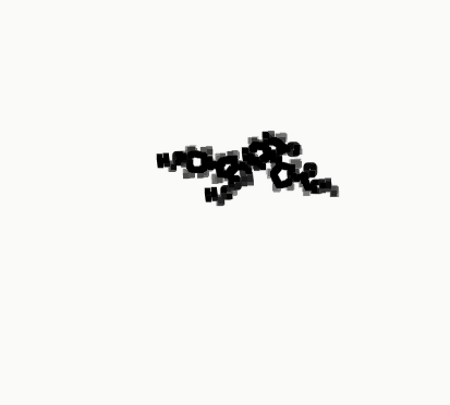 C=CC(=O)N1CCCC(n2c(=O)cnc3cnc(Nc4ccc(N5CCN(C)CC5)cc4OC)nc32)C1